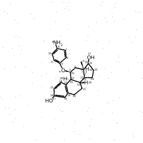 C[C@]12C[C@H](Oc3ccc(N)cc3)[C@@H]3c4ccc(O)cc4CC[C@H]3[C@@H]1CC[C@@H]2O